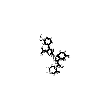 COc1cccc(-c2nc(-n3nc(C(=O)N4CCNCC4C)c4cc(C)ccc43)sc2C(C)C)c1